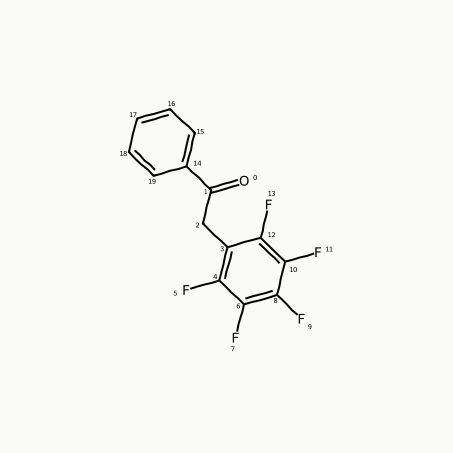 O=C(Cc1c(F)c(F)c(F)c(F)c1F)c1ccccc1